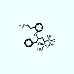 CCCc1ccccc1OC(Cc1ccccc1)CC(P(=O)(O)O)S(=O)(=O)O